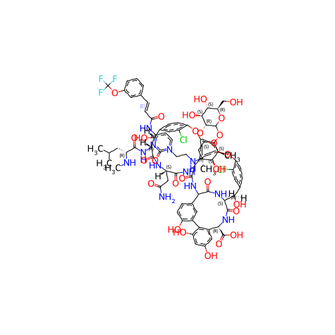 CN[C@H](CC(C)C)C(=O)N[C@H]1C(=O)N[C@@H](CC(N)=O)C(=O)NC2C(=O)NC3C(=O)N[C@H](C(=O)N[C@@H](C(=O)O)c4cc(O)cc(O)c4-c4cc3ccc4O)[C@H](O)c3ccc(c(Cl)c3)Oc3cc2cc(c3OC2O[C@H](CO)[C@@H](O)[C@H](O)[C@H]2O[C@H]2C[C@](C)(NCCn3ccc(NC(=O)/C=C/c4cccc(OC(F)(F)F)c4)nc3=O)[C@H](O)[C@H](C)O2)Oc2ccc(cc2Cl)[C@H]1O